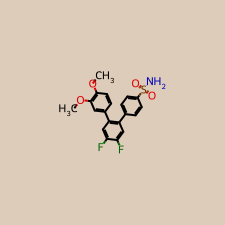 COc1ccc(-c2cc(F)c(F)cc2-c2ccc(S(N)(=O)=O)cc2)cc1OC